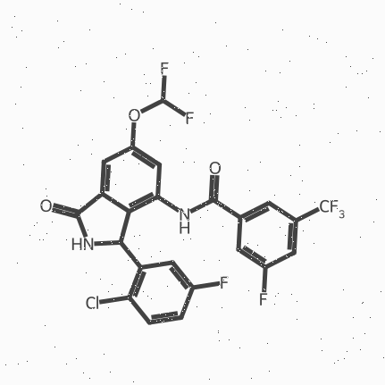 O=C(Nc1cc(OC(F)F)cc2c1C(c1cc(F)ccc1Cl)NC2=O)c1cc(F)cc(C(F)(F)F)c1